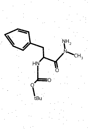 CN(N)C(=O)C(Cc1ccccc1)NC(=O)OC(C)(C)C